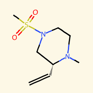 C=C[C@@H]1CN(S(C)(=O)=O)CCN1C